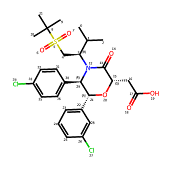 CC(C)[C@H](CS(=O)(=O)C(C)(C)C)N1C(=O)[C@H](CC(=O)O)O[C@H](c2cccc(Cl)c2)[C@H]1c1ccc(Cl)cc1